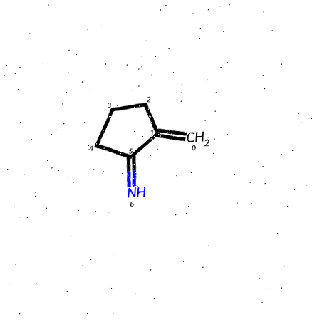 C=C1CCCC1=N